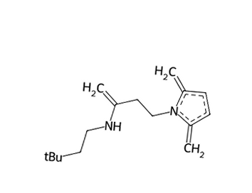 C=C(CCn1c(=C)ccc1=C)NCCC(C)(C)C